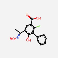 CC(=NO)c1cc(C(=O)O)c(F)c(-c2ccccc2)c1O